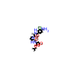 CC(C)COC1OC(=O)C[C@@H]1NC(=O)[C@@H]1CCCN1C(=O)[C@H](C)NC(=O)c1ccc(N)c(Cl)c1